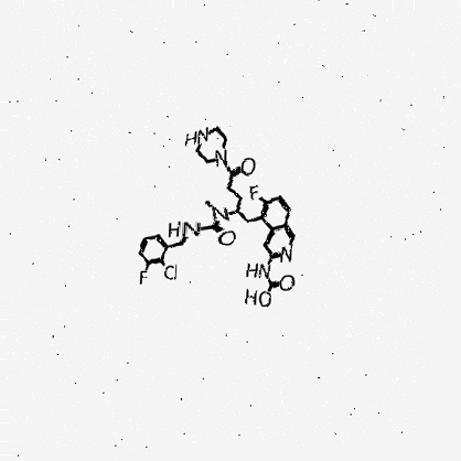 CN(C(=O)NCc1cccc(F)c1Cl)C(CCC(=O)N1CCNCC1)Cc1c(F)ccc2cnc(NC(=O)O)cc12